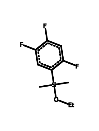 CCO[Si](C)(C)c1cc(F)c(F)cc1F